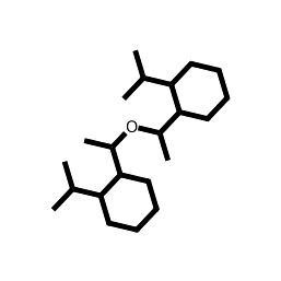 CC(C)C1CCCCC1C(C)OC(C)C1CCCCC1C(C)C